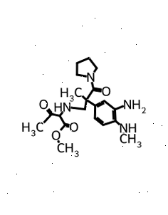 CNc1ccc(C(C)(CNC(C(C)=O)C(=O)OC)C(=O)N2CCCC2)cc1N